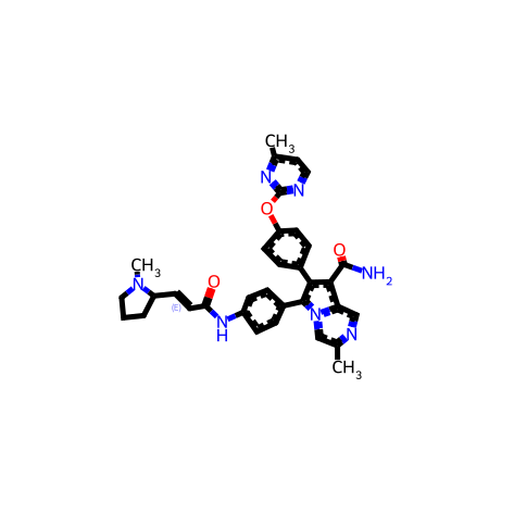 Cc1cn2c(-c3ccc(NC(=O)/C=C/C4CCCN4C)cc3)c(-c3ccc(Oc4nccc(C)n4)cc3)c(C(N)=O)c2cn1